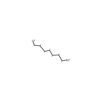 [Li][CH2]CCCCC[CH2][Li]